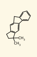 CC1(C)CCc2cc3c(cc21)-c1ccccc1C3